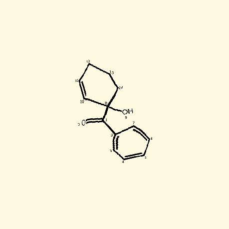 O=C(c1ccccc1)C1(O)C=CCCC1